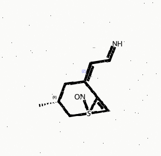 C[C@@H]1C/C(=C/C=N)C2=CS2(N=O)C1